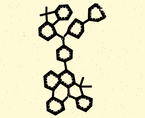 CC1(C)c2ccccc2-c2c(N(c3ccc(-c4ccccc4)cc3)c3ccc(-c4cc5c6c7c(cccc47)-c4ccccc4N6c4ccccc4C5(C)C)cc3)cccc21